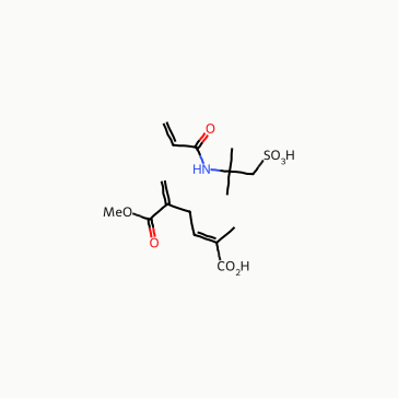 C=C(CC=C(C)C(=O)O)C(=O)OC.C=CC(=O)NC(C)(C)CS(=O)(=O)O